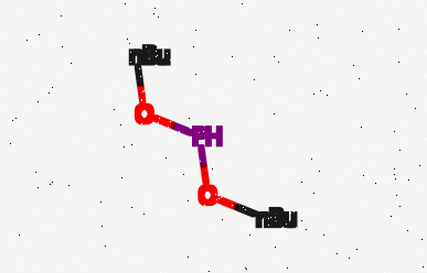 CCCCOPOCCCC